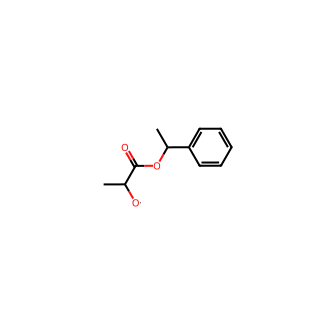 CC([O])C(=O)OC(C)c1ccccc1